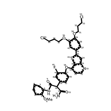 COc1ccccc1NC(=O)C(C(N)=O)c1ccc(Oc2ccnc3cc(-c4ccc(OCCCCl)c(OCCCCl)c4)sc23)c(F)c1